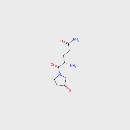 NC(=O)CC[C@H](N)C(=O)N1CCC(=O)C1